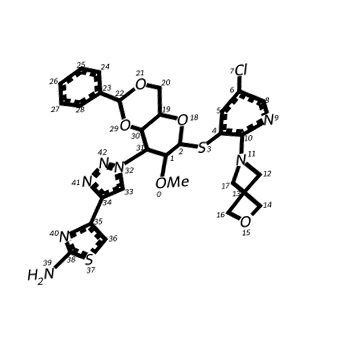 COC1C(Sc2cc(Cl)cnc2N2CC3(COC3)C2)OC2COC(c3ccccc3)OC2C1n1cc(-c2csc(N)n2)nn1